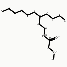 CCCCCCC(CCCC)CCNC(=O)COC